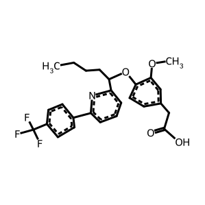 CCCCC(Oc1ccc(CC(=O)O)cc1OC)c1cccc(-c2ccc(C(F)(F)F)cc2)n1